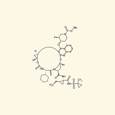 C=C[C@@H]1C[C@]1(NC(=O)[C@@H]1C[C@@H]2CN1C(=O)[C@H](C1CCCCC1)NC(=O)O[C@@H]1C[C@H]1CCCCCc1c(nc3ccccc3c1O[C@@H]1CCN(C(=O)OC(C)(C)C)C[C@@H]1F)O2)C(=O)NS(=O)(=O)C1(C)CC1